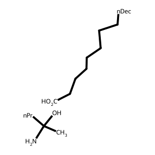 CCCC(C)(N)O.CCCCCCCCCCCCCCCCCC(=O)O